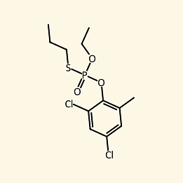 CCCSP(=O)(OCC)Oc1c(C)cc(Cl)cc1Cl